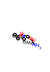 COc1ccc(N(Cc2ccc(OCC(=O)[CH]CN)cc2)C(=O)OCC2c3ccccc3-c3ccccc32)c(OC)c1